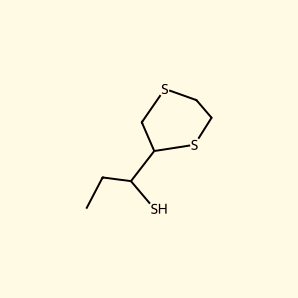 CCC(S)C1CSCCS1